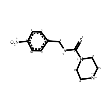 O=[N+]([O-])c1ccc(CSC(=S)N2CCNCC2)cc1